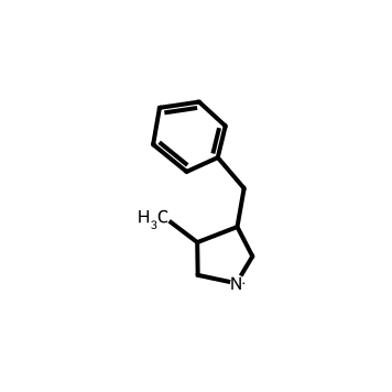 CC1C[N]CC1Cc1ccccc1